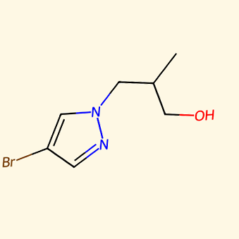 CC(CO)Cn1cc(Br)cn1